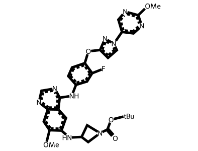 COc1ncc(-n2ccc(Oc3ccc(Nc4ncnc5cc(OC)c(NC6CN(C(=O)OC(C)(C)C)C6)cc45)cc3F)n2)cn1